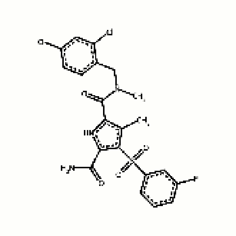 Cc1c(C(=O)N(C)Cc2ccc(Cl)cc2Cl)[nH]c(C(N)=O)c1S(=O)(=O)c1cccc(F)c1